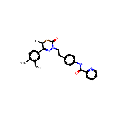 CCC1SC(=O)N(CCc2ccc(NC(=O)c3ccccn3)cc2)N=C1c1ccc(OC)c(OC)c1